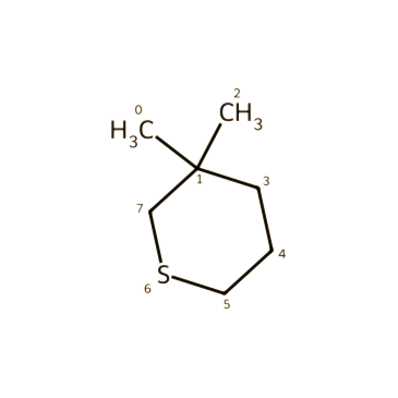 CC1(C)CCCSC1